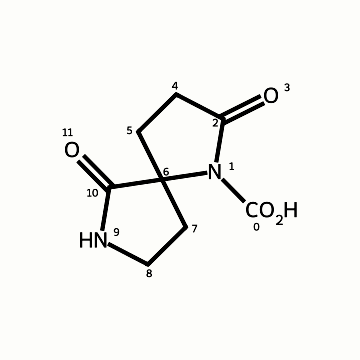 O=C(O)N1C(=O)CCC12CCNC2=O